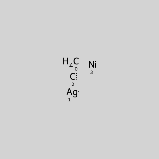 C.[Ag].[C].[Ni]